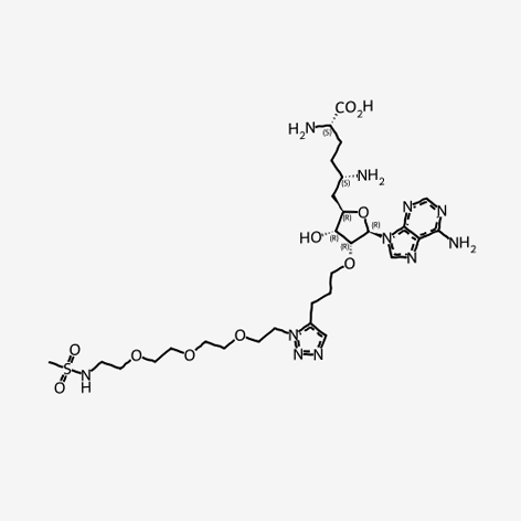 CS(=O)(=O)NCCOCCOCCOCCn1nncc1CCCO[C@@H]1[C@H](O)[C@@H](C[C@@H](N)CC[C@H](N)C(=O)O)O[C@H]1n1cnc2c(N)ncnc21